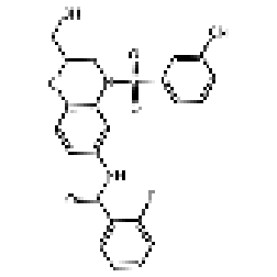 N#Cc1cccc(S(=O)(=O)N2CC(CO)Oc3ccc(NC(=O)c4ccccc4F)cc32)c1